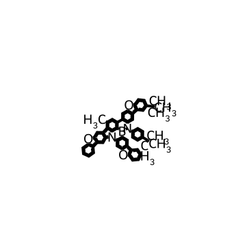 Cc1cc2c3c4c1c1cc5oc6ccccc6c5cc1n4-c1cc4oc5ccccc5c4cc1B3N(c1ccc(C(C)(C)C)cc1)c1cc3c(cc1-2)oc1ccc(C(C)(C)C)cc13